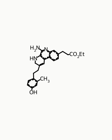 CCOC(=O)CCc1ccc2c3c(c(N)nc2c1)NCC(CCc1ccc(O)cc1C)=C3